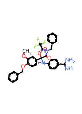 COc1cc([C@](Nc2ccc(C(=N)N)cc2)(OC(=O)C(F)(F)F)C(=O)NCc2ccccc2)ccc1OCc1ccccc1